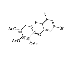 CC(=O)O[C@@H]1[C@@H](OC(C)=O)[C@H](OC(C)=O)CS[C@H]1Oc1cc(Br)cc(F)c1F